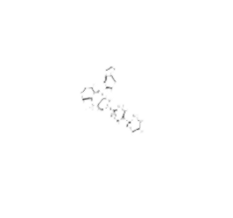 O=c1c2c(n(-c3ccc4occc4c3)c3ccccc13)CN(c1ncc(-c3ncccn3)cn1)C2